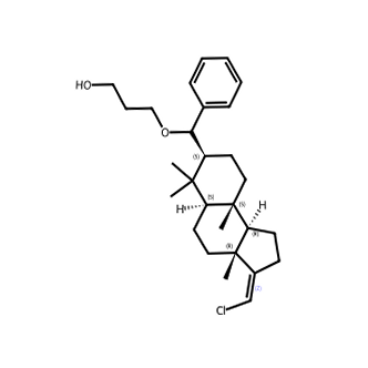 CC1(C)[C@@H](C(OCCCO)c2ccccc2)CC[C@]2(C)[C@H]3CC/C(=C/Cl)[C@]3(C)CC[C@@H]12